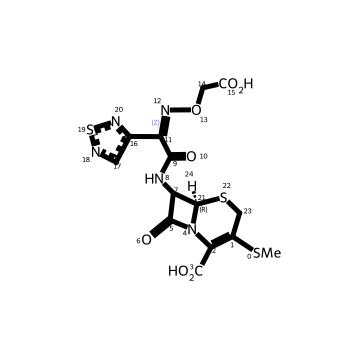 CSC1=C(C(=O)O)N2C(=O)C(NC(=O)/C(=N\OCC(=O)O)c3cnsn3)[C@H]2SC1